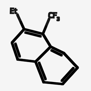 [CH2]Cc1ccc2ccccc2c1C(F)(F)F